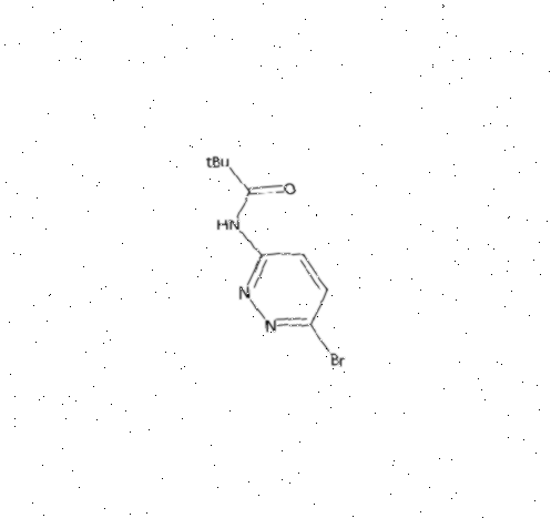 CC(C)(C)C(=O)Nc1ccc(Br)nn1